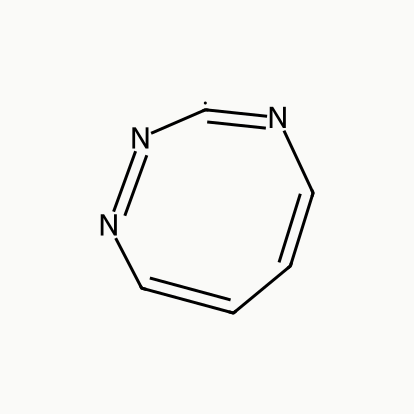 [C]1=N\C=C/C=C\N=N/1